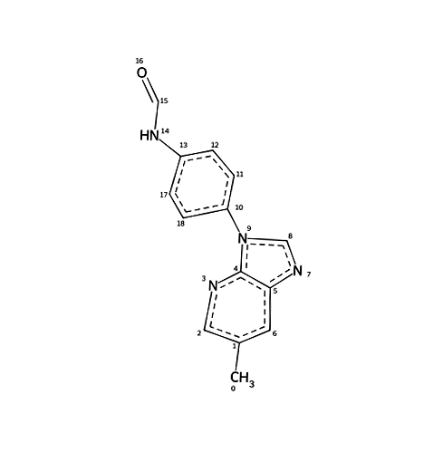 Cc1cnc2c(c1)ncn2-c1ccc(NC=O)cc1